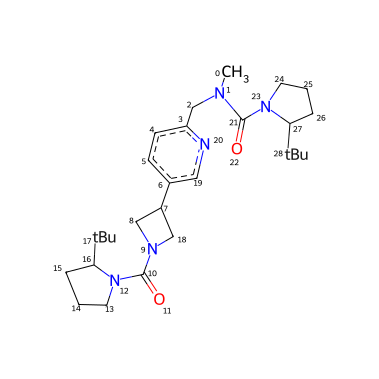 CN(Cc1ccc(C2CN(C(=O)N3CCCC3C(C)(C)C)C2)cn1)C(=O)N1CCCC1C(C)(C)C